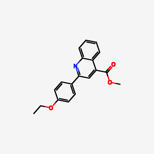 CCOc1ccc(-c2cc(C(=O)OC)c3ccccc3n2)cc1